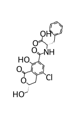 O=C(N[C@@H](Cc1ccccc1)C(=O)O)c1cc(Cl)c2c(c1O)C(=O)O[C@@H](CO)C2